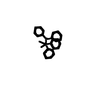 CP(C)(c1ccccc1)(c1ccccc1)P(c1ccccc1)c1ccccc1